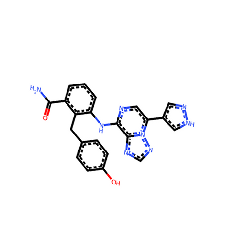 NC(=O)c1cccc(Nc2ncc(-c3cn[nH]c3)n3ncnc23)c1Cc1ccc(O)cc1